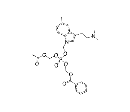 CC(=O)OCOP(=O)(OCOC(=O)c1ccccc1)OCn1cc(CCN(C)C)c2cc(C)ccc21